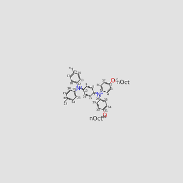 CCCCCCCCOc1ccc([N+](=C2C=CC(=[N+](c3ccc(C)cc3)c3ccc(C)cc3)C=C2)c2ccc(OCCCCCCCC)cc2)cc1